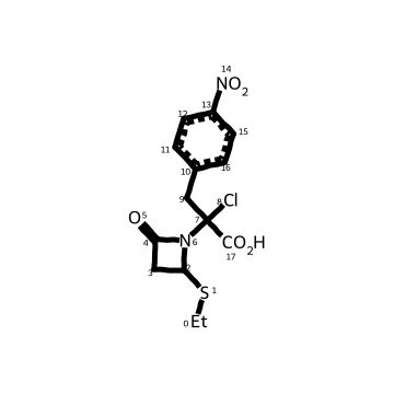 CCSC1CC(=O)N1C(Cl)(Cc1ccc([N+](=O)[O-])cc1)C(=O)O